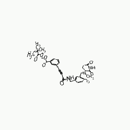 CN(Cc1cc(CNC(=O)C#Cc2cccc(C(=O)OCOC(=O)C(C)(C)C)c2)ccc1C=O)C1CCC(=O)NC1=O